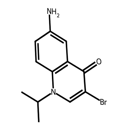 CC(C)n1cc(Br)c(=O)c2cc(N)ccc21